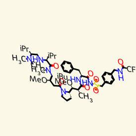 CC[C@H](C)[C@@H]([C@@H](CC(=O)N1CCC[C@H]1[C@H](OC)[C@@H](C)C(=O)N[C@@H](Cc1ccccc1)C(=O)NS(=O)(=O)Cc1ccc(CNC(=O)C(F)(F)F)cc1)OC)N(C)C(=O)[C@@H](NC[C@H](C(C)C)N(C)C)C(C)C